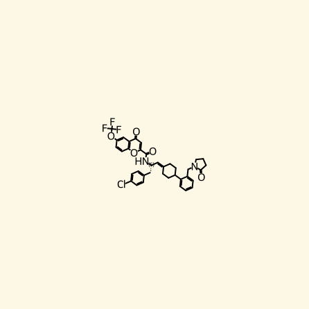 O=C(N[C@H](C=C1CCC(c2ccccc2CN2CCCC2=O)CC1)Cc1ccc(Cl)cc1)c1cc(=O)c2cc(OC(F)(F)F)ccc2o1